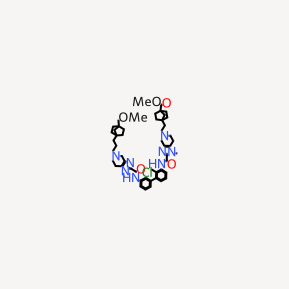 COCC12CCC(CCCN3CCc4c(nc(C(=O)Nc5cccc(-c6cccc(NC(=O)c7nc8c(n7C)CCN(CCC79CCC(C(=O)OC)(CC7)C9)C8)c6C)c5Cl)n4C)C3)(CC1)C2